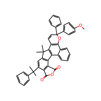 COc1ccc(C2(c3ccccc3)C=Cc3c4c(c5ccccc5c3O2)-c2c(cc(C(C)(C)c3ccccc3)c3c2C(=O)OC3=O)C4(C)C)cc1